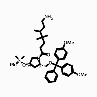 COc1ccc(C(OC[C@@H]2C[C@@H](O[Si](C)(C)C(C)(C)C)CN2C(=O)CCC(C)(C)C(C)CCN)(c2ccccc2)c2ccc(OC)cc2)cc1